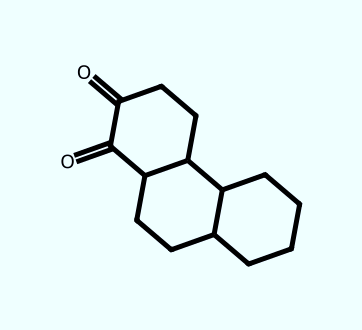 O=C1CCC2C(CCC3CCCCC32)C1=O